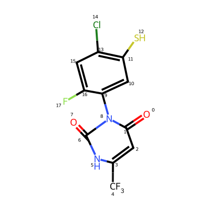 O=c1cc(C(F)(F)F)[nH]c(=O)n1-c1cc(S)c(Cl)cc1F